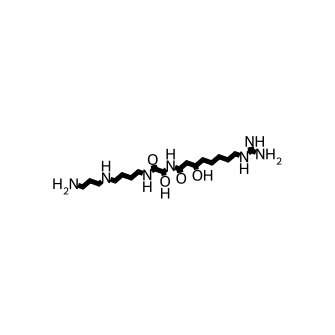 N=C(N)NCCCCCC(O)CC(=O)NC(O)C(=O)NCCCCNCCCN